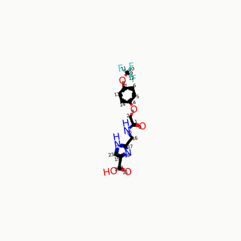 O=C(COc1ccc(OC(F)(F)F)cc1)NCc1nc(C(=O)O)c[nH]1